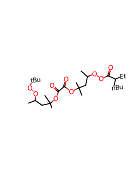 CCCCC(CC)C(=O)OOC(C)CC(C)(C)OC(=O)C(=O)OC(C)(C)CC(C)OOC(C)(C)C